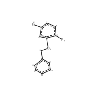 CCc1[c]cc(F)c(OCc2ccccc2)c1